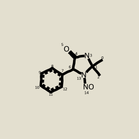 CC1(C)[N]C(=O)C(c2ccccc2)N1N=O